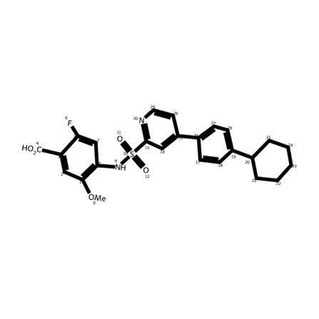 COc1cc(C(=O)O)c(F)cc1NS(=O)(=O)c1cc(-c2ccc(C3CCCCC3)cc2)ccn1